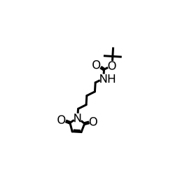 CC(C)(C)OC(=O)NCCCCCN1C(=O)C=CC1=O